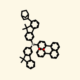 CC1(C)c2ccccc2-c2cc(N(c3ccc(-c4cccc5cccc(-c6ccccc6)c45)cc3)c3ccc4c(c3)-c3cccc(C5CC6CCC5C6)c3C4(C)C)ccc21